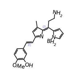 Bn1cccc1/C(CCN)=C1N=C(/C=C/c2ccc(OC)c(O)c2)C=C\1C